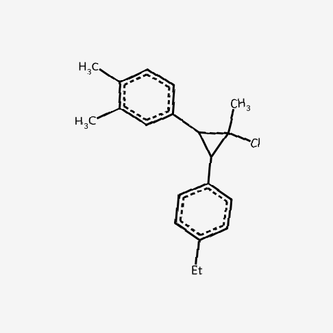 CCc1ccc(C2C(c3ccc(C)c(C)c3)C2(C)Cl)cc1